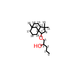 CCCC(O)COC1CC(C)(C)C2CCC3(C)CCCC12C3